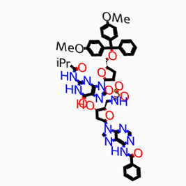 COc1ccc(C(OC[C@@H]2C[C@@H](OS(=O)(=O)NC[C@H]3OC(n4cnc5c(NC(=O)c6ccccc6)ncnc54)C[C@@H]3O)[C@H](n3cnc4c(=O)[nH]c(NC(=O)C(C)C)nc43)O2)(c2ccccc2)c2ccc(OC)cc2)cc1